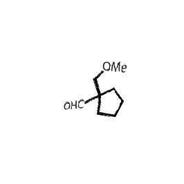 COCC1(C=O)CCCC1